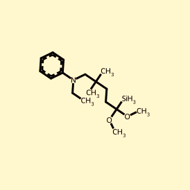 CCN(CC(C)(C)CCC([SiH3])(OC)OC)c1ccccc1